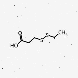 C[CH]SSCCC(=O)O